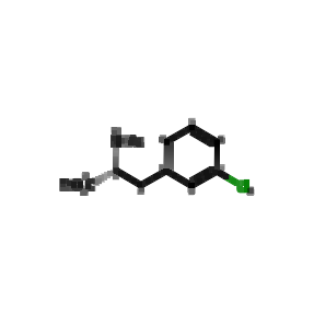 CCOC(=O)[C@@H](Cc1cccc(Cl)c1)NC(C)=O